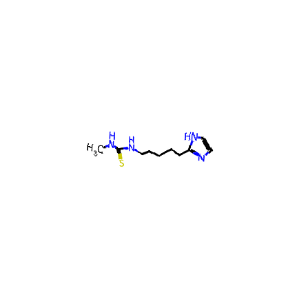 CNC(=S)NCCCCCc1ncc[nH]1